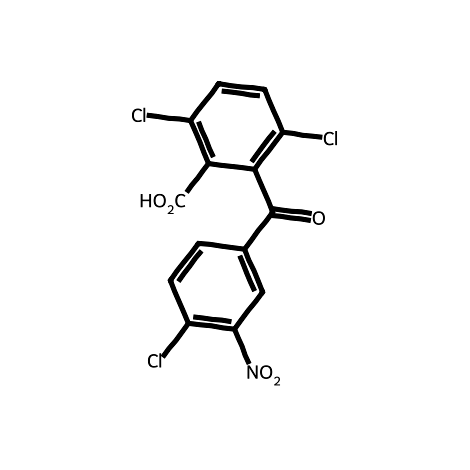 O=C(O)c1c(Cl)ccc(Cl)c1C(=O)c1ccc(Cl)c([N+](=O)[O-])c1